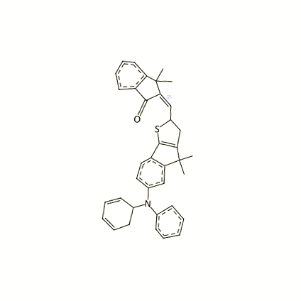 CC1(C)C2=C(SC(/C=C3\C(=O)c4ccccc4C3(C)C)C2)c2ccc(N(c3ccccc3)C3C=CC=CC3)cc21